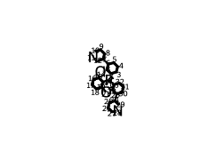 S=P12c3cccc(-c4cccnc4)c3Oc3cccc(c31)Oc1c(-c3cccnc3)cccc12